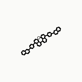 c1ccc2cc(-c3ccc(-c4ccc5oc6ccc(-c7ccc(-c8ccc9ccccc9c8)cc7)c7cccc(c8cccc4c58)c67)cc3)ccc2c1